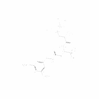 COc1cc(CNC(=O)CC(NC(=O)C(C)C[C@H](C)NC(=O)O)[C@@H](C)O)cc(OC)c1